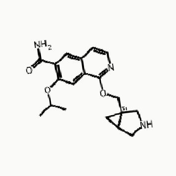 CC(C)Oc1cc2c(OC[C@@]34CNCC3C4)nccc2cc1C(N)=O